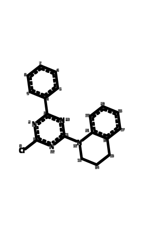 Clc1nc(-c2ccccc2)nc(N2CCCc3ccccc32)n1